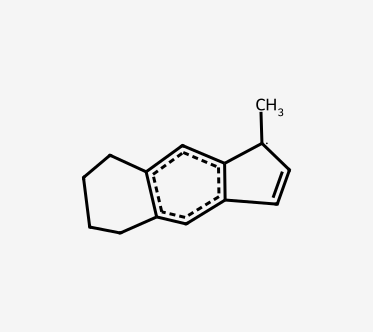 C[C]1C=Cc2cc3c(cc21)CCCC3